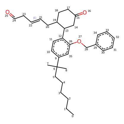 CCCCCCC(C)(C)c1ccc(C2CC(=O)CCC2C/C=C/CC=O)c(OCc2ccccc2)c1